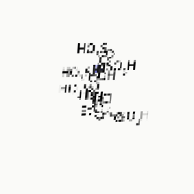 CCN(c1cccc(SCCOS(=O)(=O)O)c1)c1nc(Cl)nc(Nc2ccc3c(O)c(/N=N/c4ccc5c(S(=O)(=O)O)cccc5c4S(=O)(=O)O)c(S(=O)(=O)O)cc3c2S(=O)(=O)O)n1